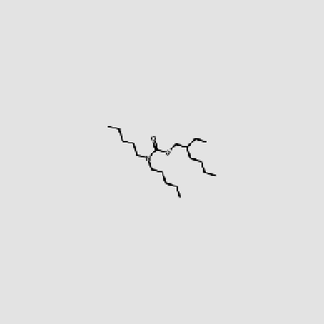 CCCCCN(CCCCC)C(=O)OCC(CC)CCCC